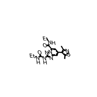 CCNC(=O)Nc1nc2cc(-c3c(C)noc3C)cc(C(=O)NCC)n2n1